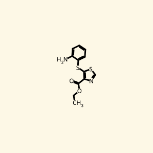 CCOC(=O)c1ncsc1Sc1ccccc1N